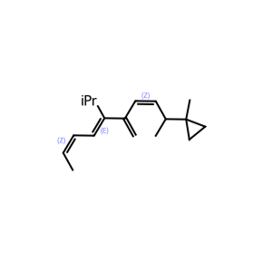 C=C(/C=C\C(C)C1(C)CC1)/C(=C/C=C\C)C(C)C